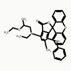 CCOC(C)CN(CC)c1cc(C)c(Nc2ccccc2)c2c1C(=O)OC21c2ccccc2Oc2ccccc21